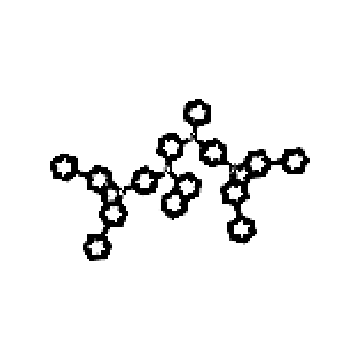 c1ccc(-c2ccc3c(c2)c2cc(-c4ccccc4)ccc2n3-c2ccc(N(c3ccccc3)c3cccc(N(c4ccc(-n5c6ccc(-c7ccccc7)cc6c6cc(-c7ccccc7)ccc65)cc4)c4cccc5ccccc45)c3)cc2)cc1